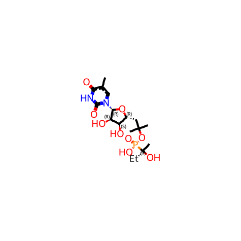 CC[C@](C)(O)P(=O)(O)OC(C)(C)C[C@H]1O[C@@H](n2cc(C)c(=O)[nH]c2=O)[C@H](O)[C@@H]1O